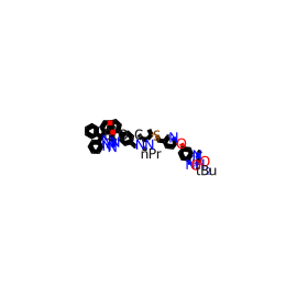 CCCc1nc(C(C)SCc2ccc(Oc3ccc(N)c(N(C)C(=O)OC(C)(C)C)c3)nc2)c(C(=O)OCC)n1Cc1ccc(-c2ccccc2-c2nnnn2C(c2ccccc2)(c2ccccc2)c2ccccc2)cc1